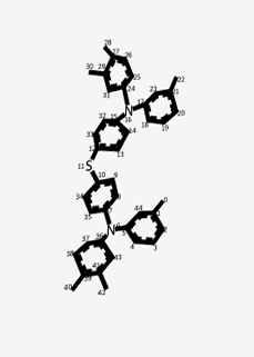 Cc1cccc(N(c2ccc(Sc3ccc(N(c4cccc(C)c4)c4ccc(C)c(C)c4)cc3)cc2)c2ccc(C)c(C)c2)c1